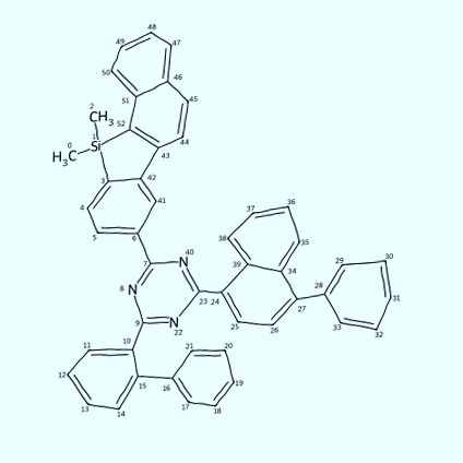 C[Si]1(C)c2ccc(-c3nc(-c4ccccc4-c4ccccc4)nc(-c4ccc(-c5ccccc5)c5ccccc45)n3)cc2-c2ccc3ccccc3c21